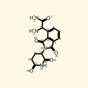 NC(=O)C(N)c1cccc2c1C(=O)N(C1CCC(=O)NC1=O)C2=O